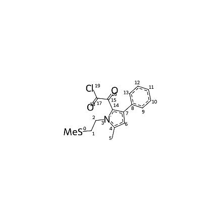 CSCCn1c(C)cc(-c2ccccc2)c1C(=O)C(=O)Cl